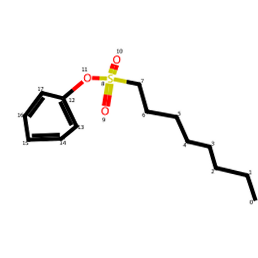 CCCCCCCCS(=O)(=O)Oc1c[c]ccc1